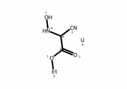 CCOC(=O)C(C#N)NO.[U]